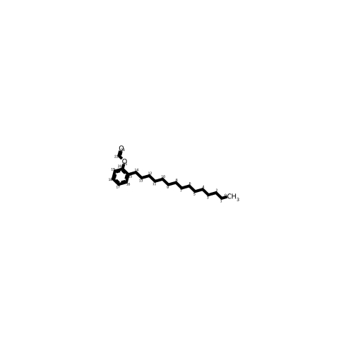 CCCCCCCCCCCCCCCc1ccccc1OC=O